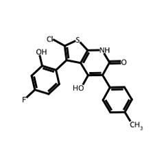 Cc1ccc(-c2c(O)c3c(-c4ccc(F)cc4O)c(Cl)sc3[nH]c2=O)cc1